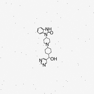 O=c1[nH]c2ccccc2n1C1CCN(C2CCC(C(O)c3cncnc3)CC2)CC1